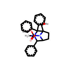 CSCC12CCC(C(c3ccccc3)N(C)C1(c1ccccc1)c1ccccc1)N2C(=O)OC(C)(C)C